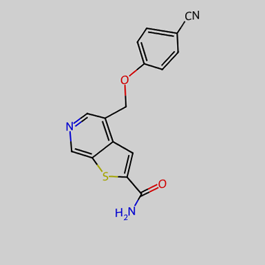 N#Cc1ccc(OCc2cncc3sc(C(N)=O)cc23)cc1